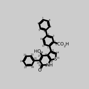 O=C(O)c1cc(-c2ccccc2)ccc1-c1csc2[nH]c(=O)c(-c3ccccc3)c(O)c12